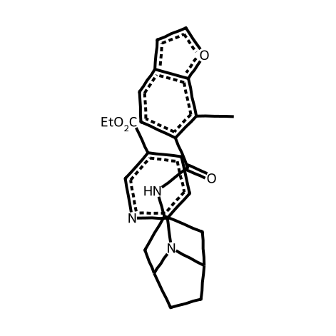 CCOC(=O)c1ccc(N2C3CCC2CC(NC(=O)c2ccc4ccoc4c2C)C3)nc1